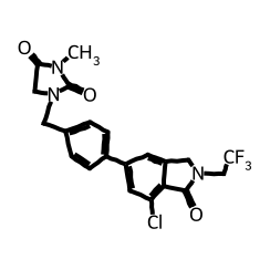 CN1C(=O)CN(Cc2ccc(-c3cc(Cl)c4c(c3)CN(CC(F)(F)F)C4=O)cc2)C1=O